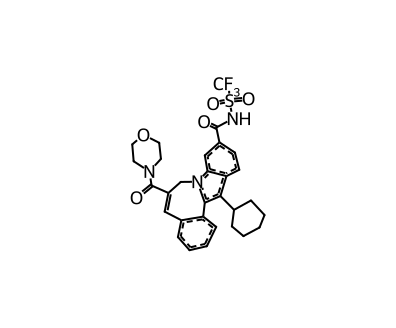 O=C(NS(=O)(=O)C(F)(F)F)c1ccc2c(C3CCCCC3)c3n(c2c1)CC(C(=O)N1CCOCC1)=Cc1ccccc1-3